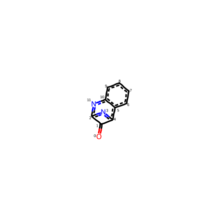 O=C1c2nc1c1ccccc1n2